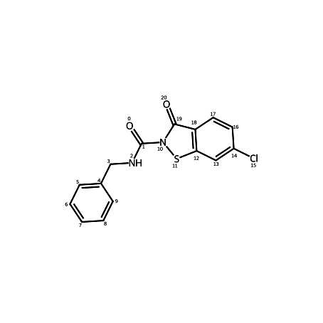 O=C(NCc1ccccc1)n1sc2cc(Cl)ccc2c1=O